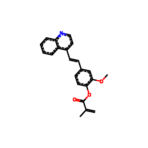 C=C(C)C(=O)Oc1ccc(/C=C/c2ccnc3ccccc23)cc1OC